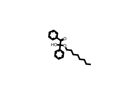 CCCCCCCCOC(O)(C(=O)c1ccccc1)c1ccccc1